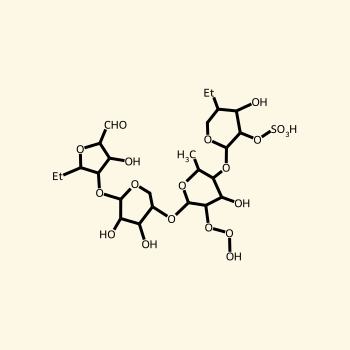 CCC1COC(OC2C(C)OC(OC3COC(OC4C(CC)OC(C=O)C4O)C(O)C3O)C(OOO)C2O)C(OS(=O)(=O)O)C1O